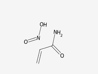 C=CC(N)=O.O=NO